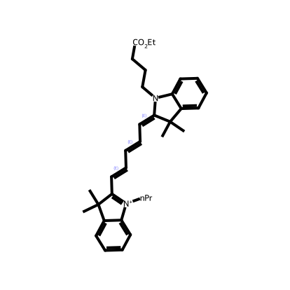 CCC[N+]1=C(/C=C/C=C/C=C2/N(CCCC(=O)OCC)c3ccccc3C2(C)C)C(C)(C)c2ccccc21